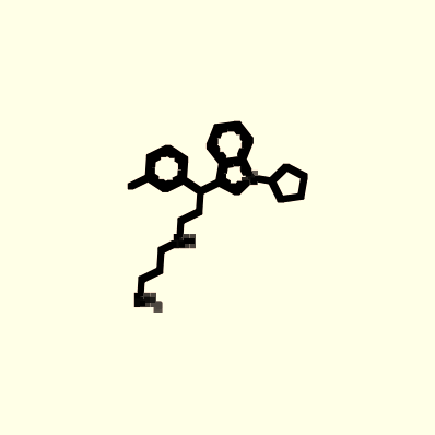 Cc1cccc(C(CCNCCCN)c2cn(C3CCCC3)c3ccccc23)c1